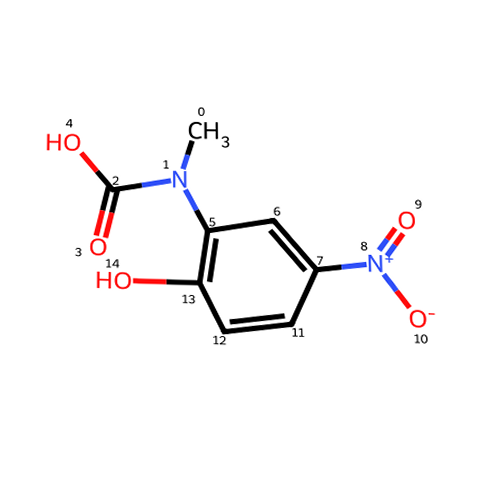 CN(C(=O)O)c1cc([N+](=O)[O-])ccc1O